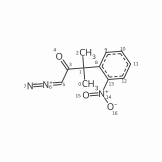 CC(C)(C(=O)C=[N+]=[N-])c1ccccc1[N+](=O)[O-]